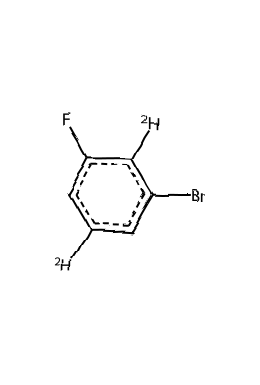 [2H]c1cc(F)c([2H])c(Br)c1